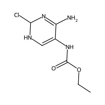 CCOC(=O)NC1=CNC(Cl)N=C1N